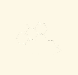 C.O=c1c2ccccc2sc2c(OCC3CO3)cccc12